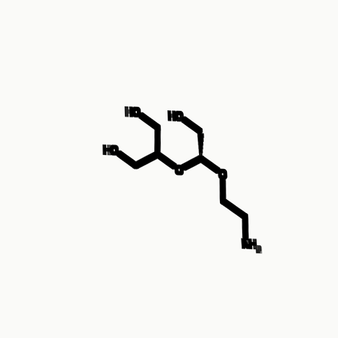 NCCO[C@@H](CO)OC(CO)CO